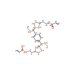 C=CC(=O)OCCC1CSC(C(SC)c2ccc(C(SC)C3SCC(CCOC(=O)C=C)S3)cc2)S1